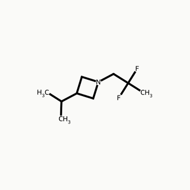 CC(C)C1CN(CC(C)(F)F)C1